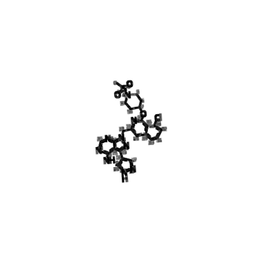 CS(=O)(=O)N1CCC(Oc2nc(Cn3nc(-c4cn[nH]c4)c4c(N)ncnc43)cc3cccc(Cl)c23)CC1